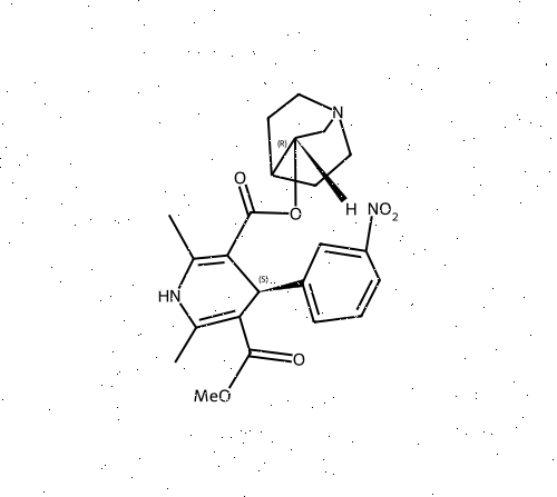 COC(=O)C1=C(C)NC(C)=C(C(=O)O[C@H]2CN3CCC2CC3)[C@H]1c1cccc([N+](=O)[O-])c1